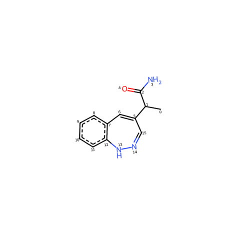 CC(C(N)=O)C1=Cc2ccccc2NN=C1